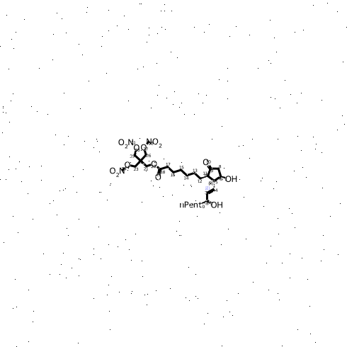 CCCCC[C@H](O)/C=C/[C@H]1[C@H](O)CC(=O)[C@@H]1CCCCCCC(=O)OCC(CO[N+](=O)[O-])(CO[N+](=O)[O-])CO[N+](=O)[O-]